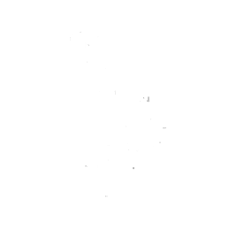 CN(C)CCCC1=CNc2cccc(OP(=O)(O)O)c2C1